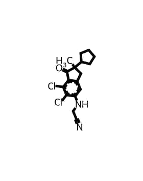 CC1(C2CCCC2)Cc2cc(NCC#N)c(Cl)c(Cl)c2C1=O